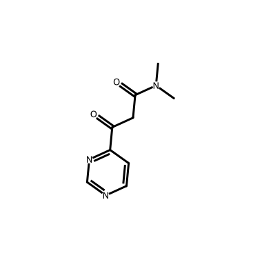 CN(C)C(=O)CC(=O)c1ccncn1